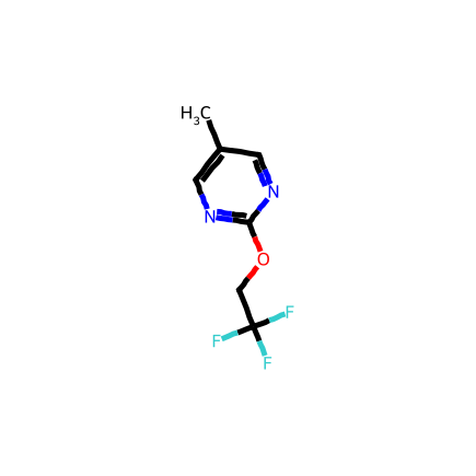 Cc1cnc(OCC(F)(F)F)nc1